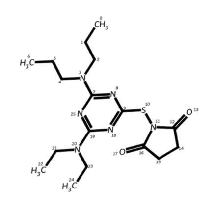 CCCN(CCC)c1nc(SN2C(=O)CCC2=O)nc(N(CC)CC)n1